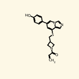 C=CC(=O)N1CC(CSc2cc(-c3ccc(O)cc3)cn3cncc23)C1